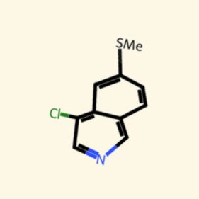 CSc1ccc2cncc(Cl)c2c1